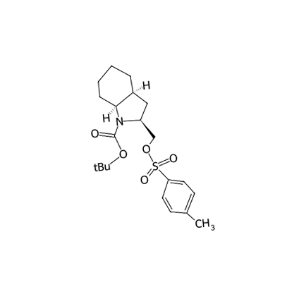 Cc1ccc(S(=O)(=O)OC[C@@H]2C[C@@H]3CCCC[C@@H]3N2C(=O)OC(C)(C)C)cc1